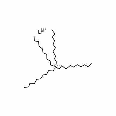 CCCCCCCCCC[S-2](CCCCCCCCCC)(CCCCCCCCCC)CCCCCCCCCC.[Li+].[Li+]